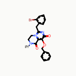 CC(C)N1CCn2c(Cc3ccccc3Br)nc(=O)c(OCc3ccccc3)c2C1=O